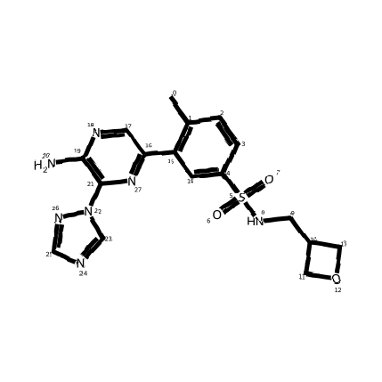 Cc1ccc(S(=O)(=O)NCC2COC2)cc1-c1cnc(N)c(-n2cncn2)n1